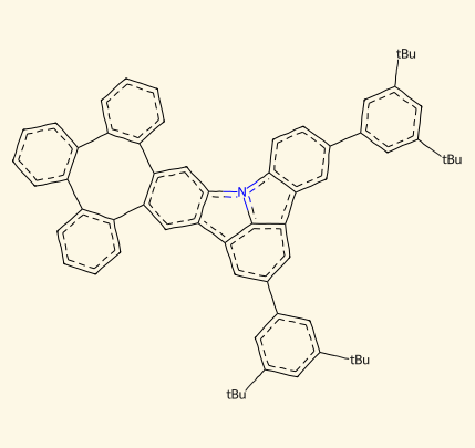 CC(C)(C)c1cc(-c2ccc3c(c2)c2cc(-c4cc(C(C)(C)C)cc(C(C)(C)C)c4)cc4c5cc6c(cc5n3c24)-c2ccccc2-c2ccccc2-c2ccccc2-6)cc(C(C)(C)C)c1